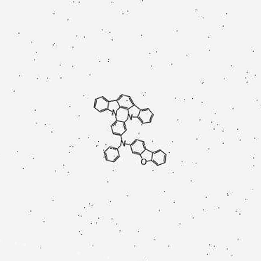 c1ccc(N(c2ccc3c(c2)oc2ccccc23)c2ccc3c(c2)n2c4ccccc4c4ccc5c6ccccc6n3c5c42)cc1